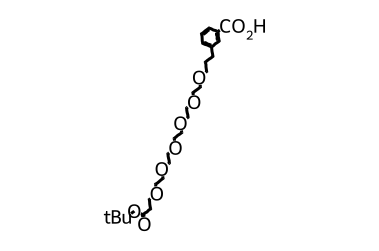 CC(C)(C)OC(=O)CCOCCOCCOCCOCCOCCOCCCc1cccc(C(=O)O)c1